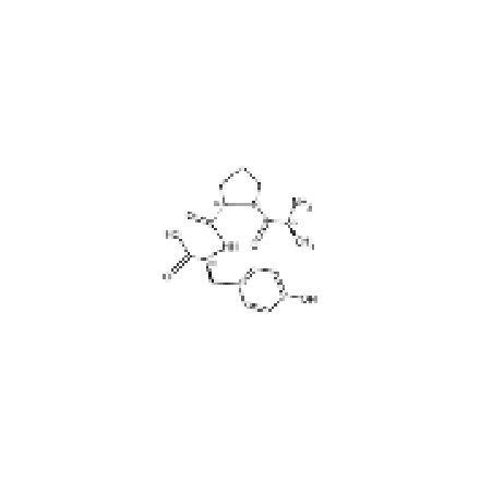 C[C@H](N)C(=O)N1CCC[C@H]1C(=O)N[C@@H](Cc1ccc(O)cc1)C(=O)O